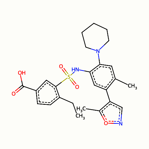 CCc1ccc(C(=O)O)cc1S(=O)(=O)Nc1cc(-c2cnoc2C)c(C)cc1N1CCCCC1